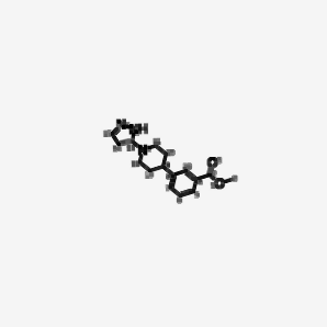 COC(=O)c1cccc(C2CCN(c3ccn[nH]3)CC2)c1